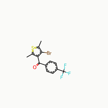 Cc1sc(C)c(C(=O)c2ccc(C(F)(F)F)cc2)c1Br